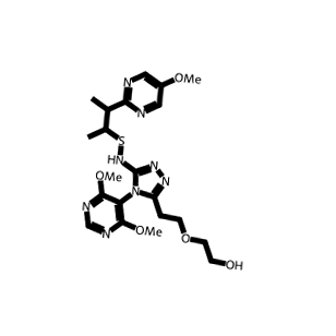 COc1cnc(C(C)C(C)SNc2nnc(CCOCCO)n2-c2c(OC)ncnc2OC)nc1